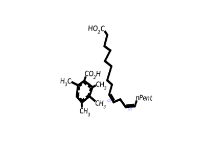 CCCCC/C=C\C/C=C\CCCCCCCC(=O)O.Cc1cc(C)c(C(=O)O)c(C)c1C